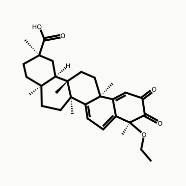 CCO[C@]1(C)C(=O)C(=O)C=C2C1=CC=C1[C@@]2(C)CC[C@@]2(C)[C@@H]3C[C@](C)(C(=O)O)CC[C@]3(C)CC[C@]12C